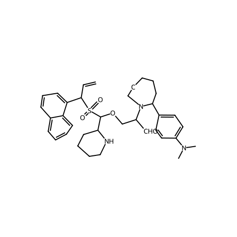 C=CC(c1cccc2ccccc12)S(=O)(=O)C(OCC(C=O)N1CCCCCC1c1ccc(N(C)C)cc1)C1CCCCN1